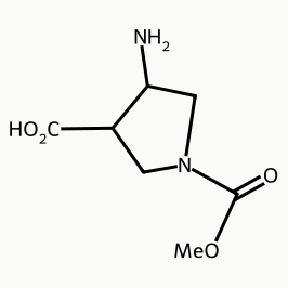 COC(=O)N1CC(N)C(C(=O)O)C1